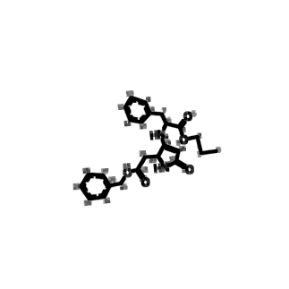 CCCOC(=O)C(Cc1ccccc1)NC1=CC(=O)NC1CC(=O)OCc1ccccc1